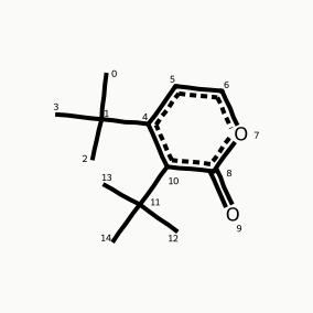 CC(C)(C)c1ccoc(=O)c1C(C)(C)C